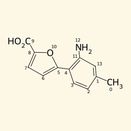 Cc1ccc(-c2ccc(C(=O)O)o2)c(N)c1